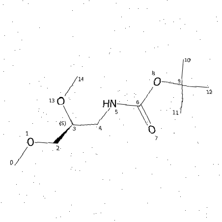 COC[C@H](CNC(=O)OC(C)(C)C)OC